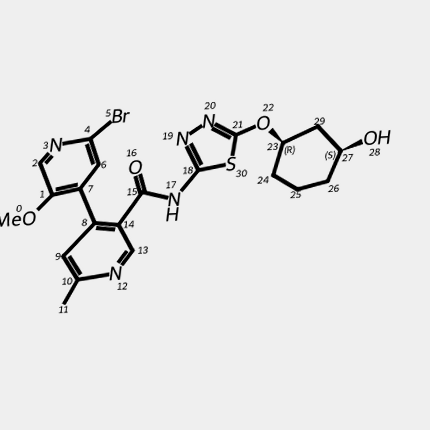 COc1cnc(Br)cc1-c1cc(C)ncc1C(=O)Nc1nnc(O[C@@H]2CCC[C@H](O)C2)s1